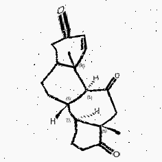 C[C@]12C=CC(=O)CC1CC[C@@H]1[C@@H]2C(=O)C[C@]2(C)C(=O)CC[C@@H]12